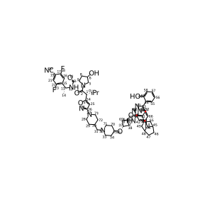 CC(C)[C@@H](C(=O)N1C[C@H](O)C[C@H]1C(=O)N[C@H](C)c1cc(F)c(C#N)cc1F)c1cc(N2CCC(CN3CCC(O[C@H]4C[C@H](Oc5cc(N6C7CCC6CN(c6cc(-c8ccccc8O)nnc6N)C7)ccn5)C4)CC3)CC2)no1